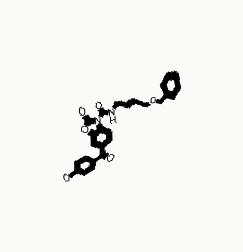 O=C(c1ccc(Cl)cc1)c1ccc2c(c1)oc(=O)n2C(=O)NCCCCOCc1ccccc1